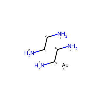 NCCN.NCCN.[Au]